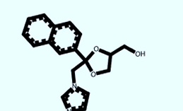 OCC1COC(Cn2ccnc2)(c2ccc3ccccc3c2)O1